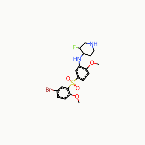 COc1ccc(S(=O)(=O)c2cc(Br)ccc2OC)cc1NC1CCNCC1F